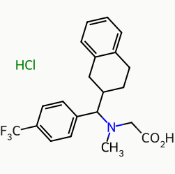 CN(CC(=O)O)C(c1ccc(C(F)(F)F)cc1)C1CCc2ccccc2C1.Cl